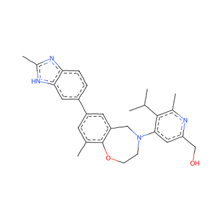 Cc1nc2ccc(-c3cc(C)c4c(c3)CN(c3cc(CO)nc(C)c3C(C)C)CCO4)cc2[nH]1